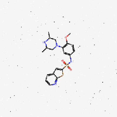 COc1ccc(NS(=O)(=O)c2cc3cccnc3s2)cc1N1CC(C)NC(C)C1